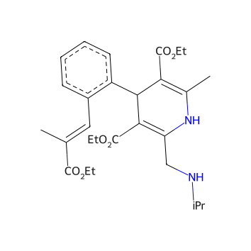 CCOC(=O)C1=C(C)NC(CNC(C)C)=C(C(=O)OCC)C1c1ccccc1/C=C(\C)C(=O)OCC